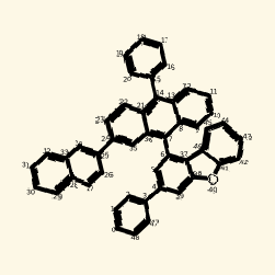 c1ccc(-c2cc(-c3c4ccccc4c(-c4ccccc4)c4ccc(-c5ccc6ccccc6c5)cc34)c3c(c2)oc2ccccc23)cc1